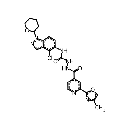 Cc1coc(-c2cc(C(=O)NNC(=O)Nc3ccc4c(cnn4C4CCCCO4)c3Cl)ccn2)n1